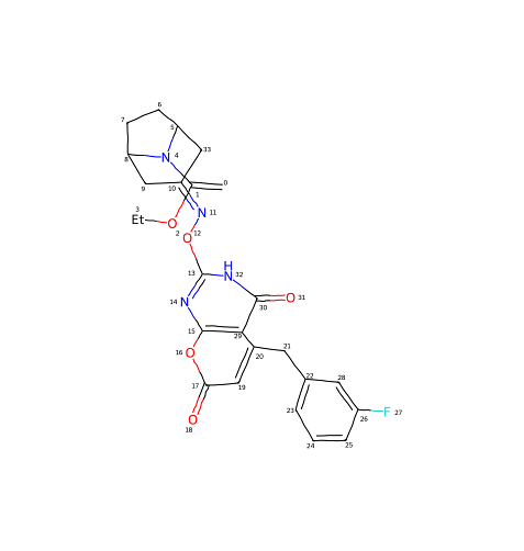 C=C(OCC)N1C2CCC1CC(=NOc1nc3oc(=O)cc(Cc4cccc(F)c4)c3c(=O)[nH]1)C2